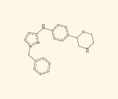 c1ccc(Cn2ccc(Nc3ccc(C4CNCCO4)cc3)n2)cc1